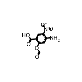 Nc1cc(OC=O)c(C(=O)O)cc1[N+](=O)[O-]